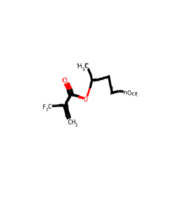 C=C(C(=O)OC(C)CCCCCCCCCC)C(F)(F)F